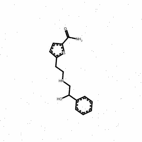 NC(=O)c1ccc(CCNCC(O)c2ccccc2)s1